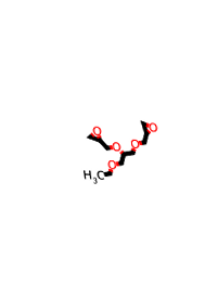 CCOCC(COCC1CO1)OCC1CO1